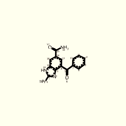 CCCc1nc2c(C(=O)c3ccccc3)cc(C(N)=O)cc2[nH]1